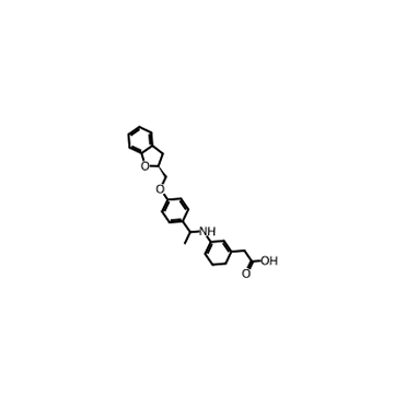 CC(NC1=CCCC(CC(=O)O)=C1)c1ccc(OC[C@@H]2Cc3ccccc3O2)cc1